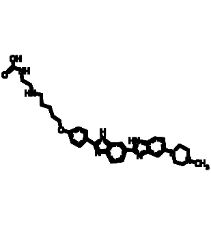 CN1CCN(c2ccc3[nH]c(-c4ccc5nc(-c6ccc(OCCCCCNCCNC(=O)O)cc6)[nH]c5c4)nc3c2)CC1